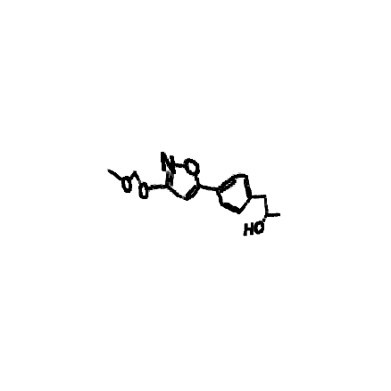 COCOc1cc(-c2ccc(CC(C)O)cc2)on1